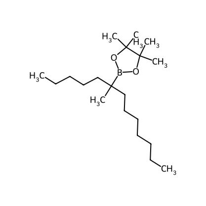 CCCCCCCC(C)(CCCCC)B1OC(C)(C)C(C)(C)O1